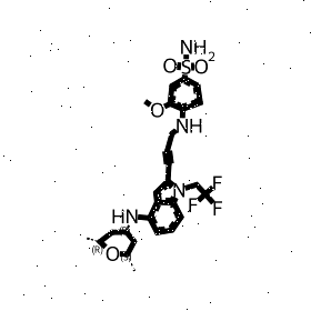 COc1cc(S(N)(=O)=O)ccc1NCC#Cc1cc2c(N[C@H]3C[C@@H](C)O[C@@H](C)C3)cccc2n1CC(F)(F)F